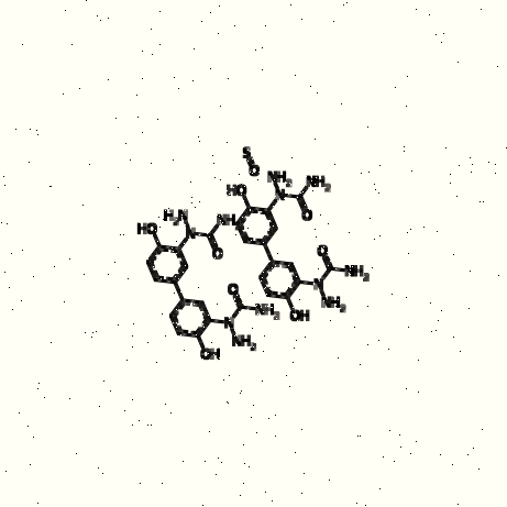 NC(=O)N(N)c1cc(-c2ccc(O)c(N(N)C(N)=O)c2)ccc1O.NC(=O)N(N)c1cc(-c2ccc(O)c(N(N)C(N)=O)c2)ccc1O.O=S